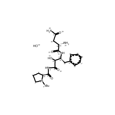 CC(C)(C)N1CCC[C@H]1C(=O)NC(=O)C(O)[C@H](Cc1ccccc1)NC(=O)[C@@H](N)CC(N)=O.Cl